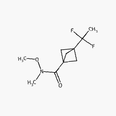 CON(C)C(=O)C12CC(C(C)(F)F)(C1)C2